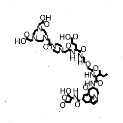 CCC(C)C(NC(=O)COCCNC(=O)C(CCC(=O)O)NC(=O)CN1CCN(C(=O)CN2CCN(CC(=O)O)CCN(CC(=O)O)CC2)CC1)C(=O)N[C@H]1CCn2ccc3c2C(=C[C@@H](C(=O)NC2CC(=O)OC2O)C3)C1=O